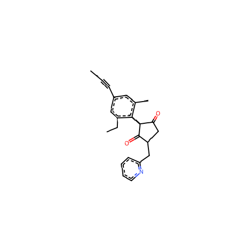 CC#Cc1cc(C)c(C2C(=O)CC(Cc3ccccn3)C2=O)c(CC)c1